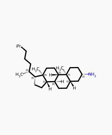 CC(C)CCC[C@@H](C)[C@H]1CC[C@H]2[C@@H]3CC[C@H]4C[C@@H](N)CC[C@]4(C)[C@H]3CC[C@]12C